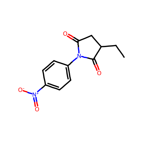 CCC1CC(=O)N(c2ccc([N+](=O)[O-])cc2)C1=O